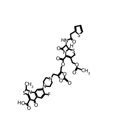 CC(=O)OCC1=C(C(=O)OCc2oc(=O)oc2CN2CCN(c3cc4c(cc3F)c(=O)c(C(=O)O)c3n4C(C)S3)CC2)N2C(=O)[C@@H](NC(=O)Cc3cccs3)[C@H]2SC1